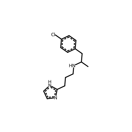 CC(Cc1ccc(Cl)cc1)NCCCc1ncc[nH]1